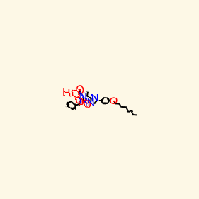 CCCCCCCCOc1ccc(-c2c[nH]c(C(C)N(C(=O)O)C(=O)OCc3ccccc3)n2)cc1